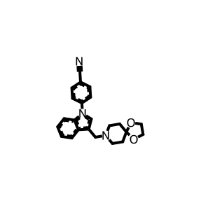 N#Cc1ccc(-n2cc(CN3CCC4(CC3)OCCO4)c3ccccc32)cc1